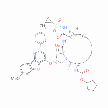 COc1ccc2c(c1)oc1c(O[C@@H]3C[C@H]4C(=O)N[C@]5(C(=O)NS(=O)(=O)C6CC6)C[C@H]5/C=C\CCCCC[C@H](NC(=O)OC5CCCC5)C(=O)N4C3)cc(-c3ccc(C)cc3)nc12